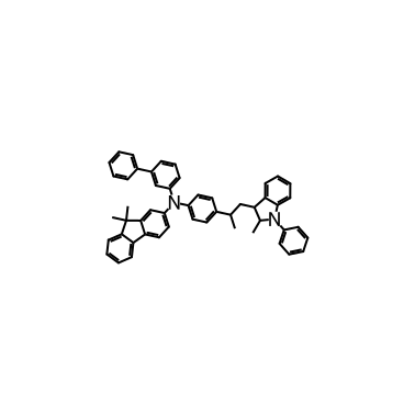 CC(CC1c2ccccc2N(c2ccccc2)C1C)c1ccc(N(c2cccc(-c3ccccc3)c2)c2ccc3c(c2)C(C)(C)c2ccccc2-3)cc1